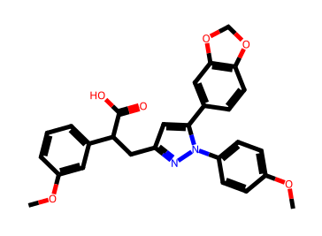 COc1ccc(-n2nc(CC(C(=O)O)c3cccc(OC)c3)cc2-c2ccc3c(c2)OCO3)cc1